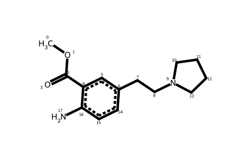 COC(=O)c1cc(CCN2CCCC2)ccc1N